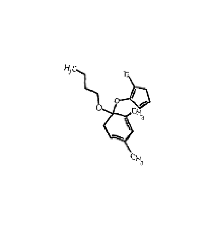 CCCCOC1(OC2=[C]([Ti])CC=C2)CC=C(C)C=C1C